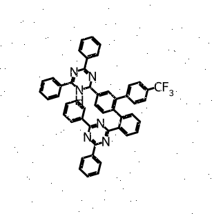 FC(F)(F)c1ccc(-c2cc(C3N=C(c4ccccc4)N=C(c4ccccc4)N3)ccc2-c2ccccc2-c2nc(-c3ccccc3)nc(-c3ccccc3)n2)cc1